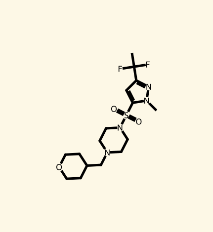 Cn1nc(C(C)(F)F)cc1S(=O)(=O)N1CCN(CC2CCOCC2)CC1